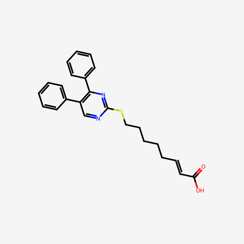 O=C(O)C=CCCCCCSc1ncc(-c2ccccc2)c(-c2ccccc2)n1